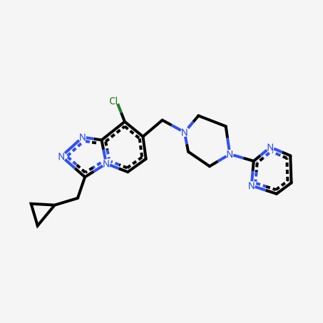 Clc1c(CN2CCN(c3ncccn3)CC2)ccn2c(CC3CC3)nnc12